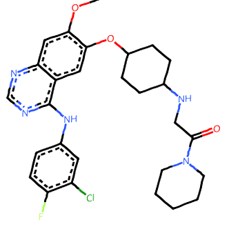 COc1cc2ncnc(Nc3ccc(F)c(Cl)c3)c2cc1OC1CCC(NCC(=O)N2CCCCC2)CC1